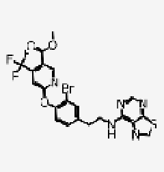 COC(=O)c1cnc(Oc2ccc(CCNc3ncnc4scnc34)cc2Br)cc1C(F)(F)F